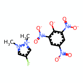 Cn1cc(F)c[n+]1C.O=[N+]([O-])c1cc([N+](=O)[O-])c([O-])c([N+](=O)[O-])c1